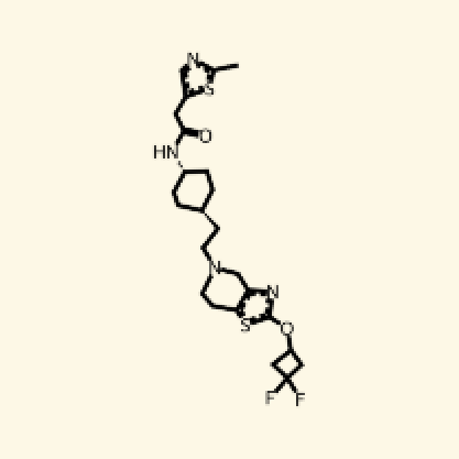 Cc1ncc(CC(=O)N[C@H]2CC[C@H](CCN3CCc4sc(OC5CC(F)(F)C5)nc4C3)CC2)s1